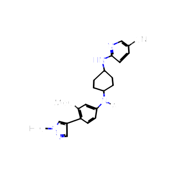 COc1cc(N(C(C)=O)C2CCC(Nc3ccc(C#N)cn3)CC2)ccc1-c1cnn(C)c1